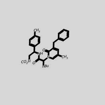 CCCCC(C(=O)NC(CC(=O)O)c1ccc(C)cc1)n1cc(C)cc(Cc2ccccc2)c1=O